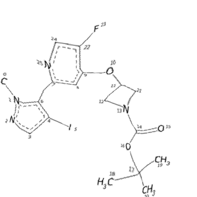 Cn1ncc(I)c1-c1cc(OC2CN(C(=O)OC(C)(C)C)C2)c(F)cn1